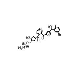 Cc1ccc(Br)cc1C(O)c1csc(C(=O)c2cncnc2N[C@@H]2C[C@H](COS(N)(=O)=O)[C@@H](O)C2)c1